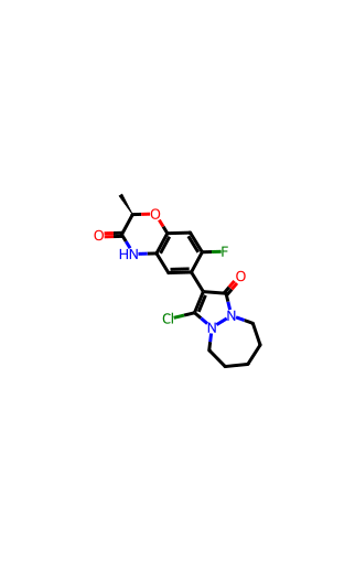 C[C@H]1Oc2cc(F)c(-c3c(Cl)n4n(c3=O)CCCCC4)cc2NC1=O